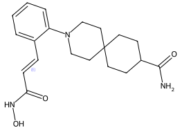 NC(=O)C1CCC2(CC1)CCN(c1ccccc1/C=C/C(=O)NO)CC2